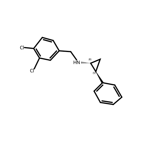 Clc1ccc(CN[C@@H]2C[C@H]2c2ccccc2)cc1Cl